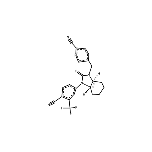 N#Cc1ccc(CN2C(=O)N(c3ccc(C#N)c(C(F)(F)F)c3)[C@H]3CCCC[C@@H]32)cn1